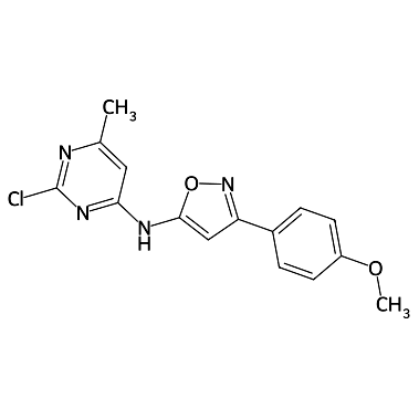 COc1ccc(-c2cc(Nc3cc(C)nc(Cl)n3)on2)cc1